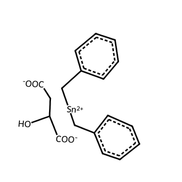 O=C([O-])CC(O)C(=O)[O-].c1ccc([CH2][Sn+2][CH2]c2ccccc2)cc1